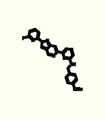 COc1ccc(CNc2cncc(-c3cc4nn(-c5cccc(F)n5)cc4cn3)n2)cc1